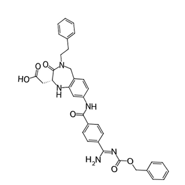 NC(=NC(=O)OCc1ccccc1)c1ccc(C(=O)Nc2ccc3c(c2)N[C@H](CC(=O)O)C(=O)N(CCc2ccccc2)C3)cc1